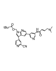 CN(C)C/C=C/C(=O)Nc1cncc(-c2cnc3c(c2)c(-c2ccnc(C#N)c2)cn3COC(=O)C(C)(C)C)c1